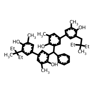 CCC(C)(CC)Cc1cc(-c2cc(C)c(O)c(C(c3ccccc3)c3cc(-c4cc(C)c(O)c(C(C)(CC)CC)c4)cc(C)c3O)c2)cc(C)c1O